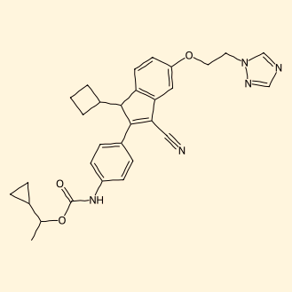 CC(OC(=O)Nc1ccc(C2=C(C#N)c3cc(OCCn4cncn4)ccc3C2C2CCC2)cc1)C1CC1